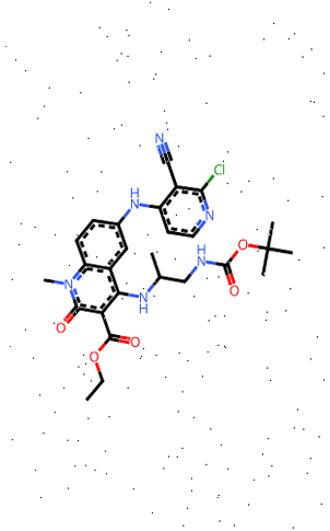 CCOC(=O)c1c(NC(C)CNC(=O)OC(C)(C)C)c2cc(Nc3ccnc(Cl)c3C#N)ccc2n(C)c1=O